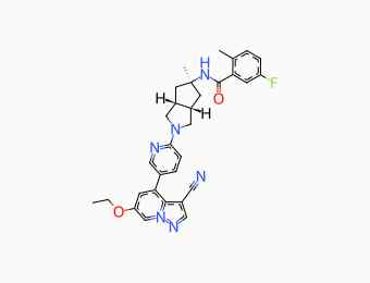 CCOc1cc(-c2ccc(N3C[C@@H]4C[C@@](C)(NC(=O)c5cc(F)ccc5C)C[C@@H]4C3)nc2)c2c(C#N)cnn2c1